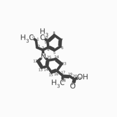 CCCC(c1ccccc1C)n1ccc2cc(C(C)=CC(=O)O)ccc21